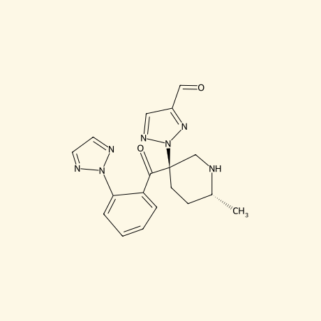 C[C@@H]1CC[C@@](C(=O)c2ccccc2-n2nccn2)(n2ncc(C=O)n2)CN1